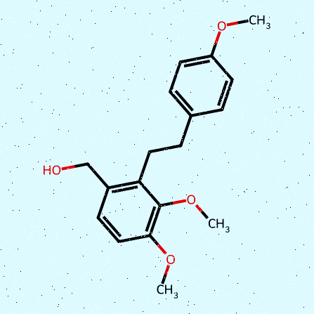 COc1ccc(CCc2c(CO)ccc(OC)c2OC)cc1